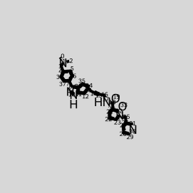 CN(C)Cc1ccc(-c2n[nH]c3cc(C#CCNC(=O)c4cccn(Cc5cccnc5)c4=O)ccc23)cc1